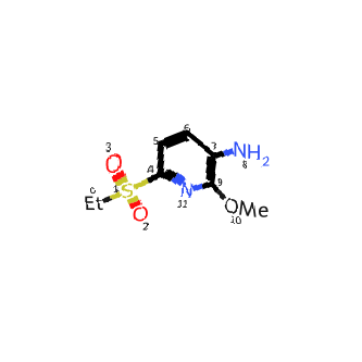 CCS(=O)(=O)c1ccc(N)c(OC)n1